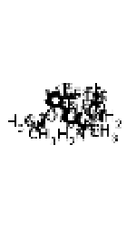 CN(C)CCOc1cccc(C(F)(F)F)c1-c1ccc2c(n1)N(OC(=O)C(F)(F)F)C(N)N(C)C2N